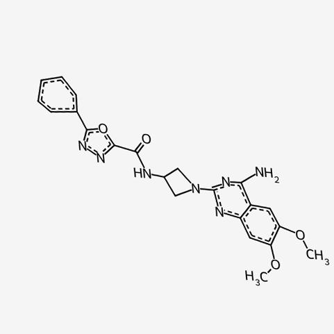 COc1cc2nc(N3CC(NC(=O)c4nnc(-c5ccccc5)o4)C3)nc(N)c2cc1OC